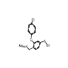 CCSc1ccc(CNC)c(Oc2ccc(Cl)cc2)c1